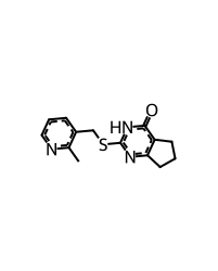 Cc1ncccc1CSc1nc2c(c(=O)[nH]1)CCC2